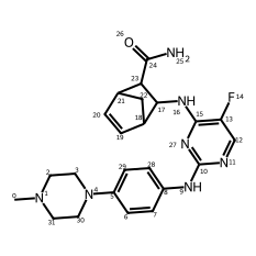 CN1CCN(c2ccc(Nc3ncc(F)c(NC4C5C=CC(C5)C4C(N)=O)n3)cc2)CC1